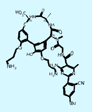 Cc1nc(-c2ccc(C(C)(C)C)cc2C#N)nc(N)c1C(=O)NCC(=O)N(C)[C@@H]1C(=O)N[C@@H](C)C(=O)N[C@H](C(=O)O)Cc2ccc(OCCCN)c(c2)-c2cc1cc(OCCCN)c2O